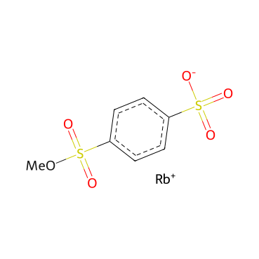 COS(=O)(=O)c1ccc(S(=O)(=O)[O-])cc1.[Rb+]